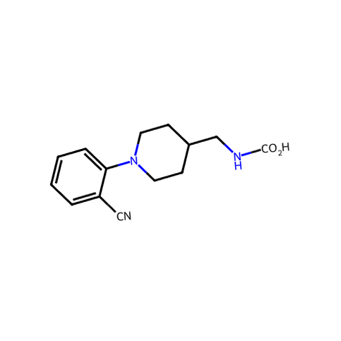 N#Cc1ccccc1N1CCC(CNC(=O)O)CC1